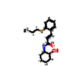 CC(C)CCSc1ccccc1/C=C/C(=O)NC1CCCCC1O